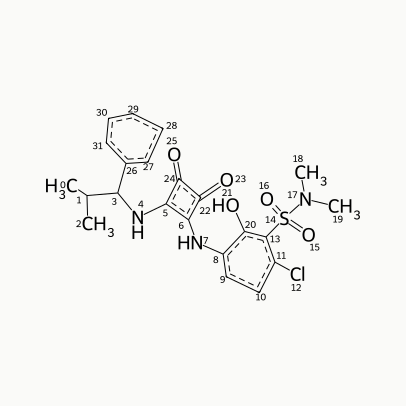 CC(C)C(Nc1c(Nc2ccc(Cl)c(S(=O)(=O)N(C)C)c2O)c(=O)c1=O)c1ccccc1